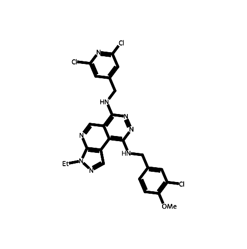 CCn1ncc2c3c(NCc4ccc(OC)c(Cl)c4)nnc(NCc4cc(Cl)nc(Cl)c4)c3cnc21